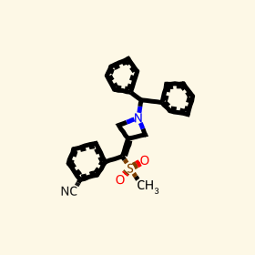 CS(=O)(=O)C(=C1CN(C(c2ccccc2)c2ccccc2)C1)c1cccc(C#N)c1